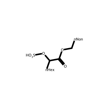 CCCCCCCCCCOC(=O)C(CCCCCC)OS(=O)(=O)O